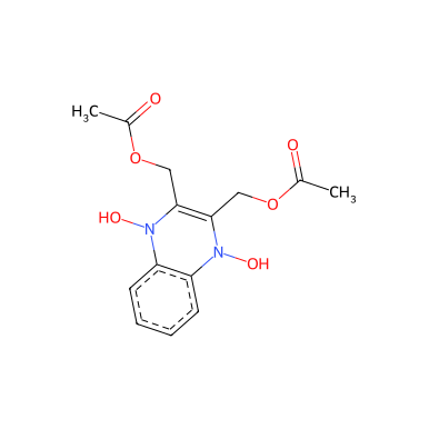 CC(=O)OCC1=C(COC(C)=O)N(O)c2ccccc2N1O